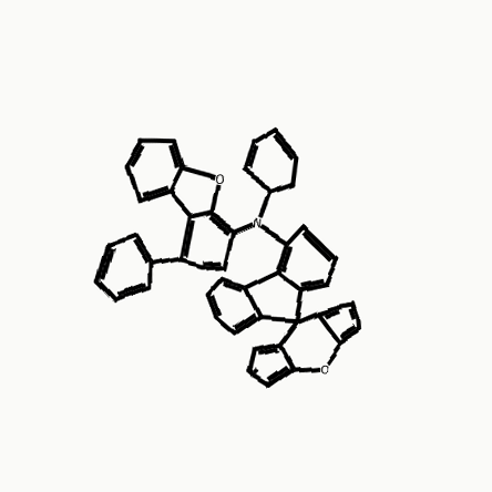 C1=CCC(N(c2cccc3c2-c2ccccc2C32c3ccccc3Oc3ccccc32)c2ccc(-c3ccccc3)c3c2oc2ccccc23)C=C1